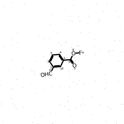 O=Cc1cccc(C(=O)OF)c1